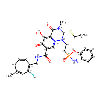 COCS[C@H]1N(C)C(=O)c2c(O)c(=O)c(C(=O)NCC3=C(F)C=C(C)CC=C3)cn2N1CCP(N)(=O)Oc1ccccc1